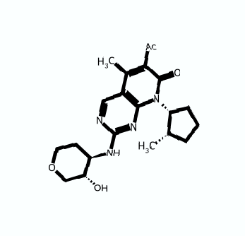 CC(=O)c1c(C)c2cnc(N[C@@H]3CCOC[C@H]3O)nc2n([C@@H]2CCC[C@@H]2C)c1=O